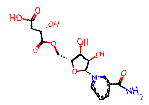 NC(=O)c1ccc[n+]([C@@H]2O[C@H](COC(=O)[C@@H](O)CC(=O)O)[C@@H](O)[C@H]2O)c1